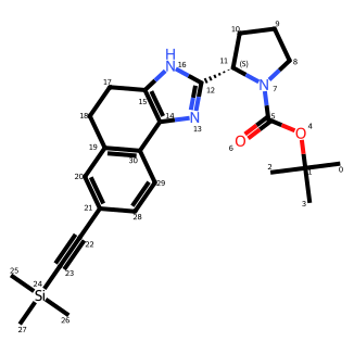 CC(C)(C)OC(=O)N1CCC[C@H]1c1nc2c([nH]1)CCc1cc(C#C[Si](C)(C)C)ccc1-2